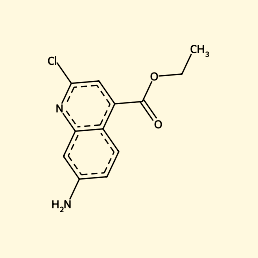 CCOC(=O)c1cc(Cl)nc2cc(N)ccc12